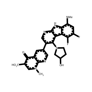 CNc1cc(F)c(F)c2c1[nH]c1ncc(-c3cnc4c(c3)c(=O)c(C(=O)O)cn4C)c(N3CCC(O)C3)c12